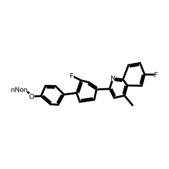 CCCCCCCCCOc1ccc(-c2ccc(-c3cc(C)c4cc(F)ccc4n3)cc2F)cc1